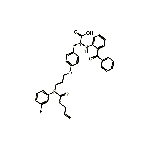 C=CCCC(=O)N(CCCOc1ccc(C[C@H](Nc2ccccc2C(=O)c2ccccc2)C(=O)O)cc1)c1cccc(F)c1